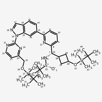 CC(C)(C)[S@@+]([O-])N[C@H](c1cccc(-c2ccc3cnn(-c4nccc(CO[Si](C)(C)C(C)(C)C)n4)c3c2)n1)C1CC(O[Si](C)(C)C(C)(C)C)C1